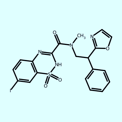 CN(CC(c1ccccc1)c1ncco1)C(=O)C1=Nc2ccc(I)cc2S(=O)(=O)N1